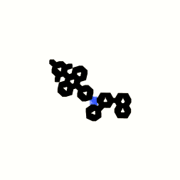 Cc1cc(C)c(-c2c3ccccc3c(-c3ccc(-n4c5ccccc5c5cc(-c6cccc7ccccc67)ccc54)cc3)c3ccccc23)c(C)c1